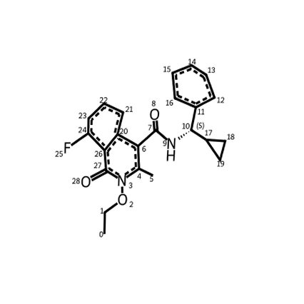 CCOn1c(C)c(C(=O)N[C@H](c2ccccc2)C2CC2)c2cccc(F)c2c1=O